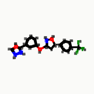 FC(F)(F)c1ccc([C@@H]2CC(Oc3cccc(-c4nnco4)c3)=NO2)cc1